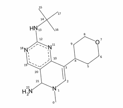 CN1C=C(C2CCOCC2)c2nc(NC(C)(C)C)ncc2C1N